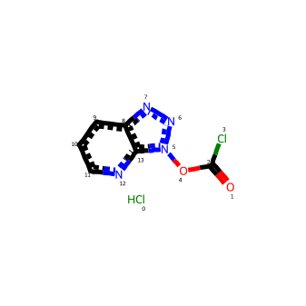 Cl.O=C(Cl)On1nnc2cccnc21